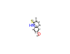 COc1ccc2c(c1)CCC(C)C(=S)N2